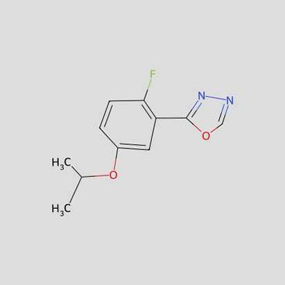 CC(C)Oc1ccc(F)c(-c2nnco2)c1